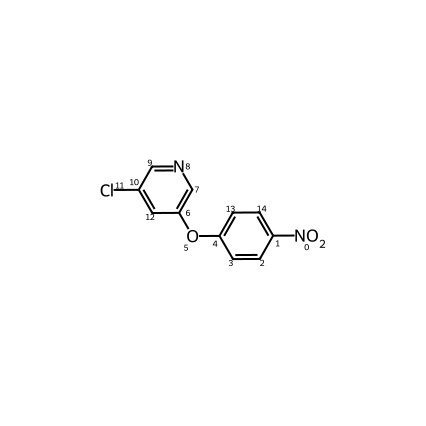 O=[N+]([O-])c1ccc(Oc2cncc(Cl)c2)cc1